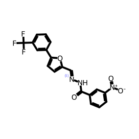 O=C(N/N=C/c1ccc(-c2cccc(C(F)(F)F)c2)o1)c1cccc([N+](=O)[O-])c1